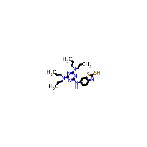 C=CCN(CC=C)c1nc(Nc2ccc3nc(S)sc3c2)nc(N(CC=C)CC=C)n1